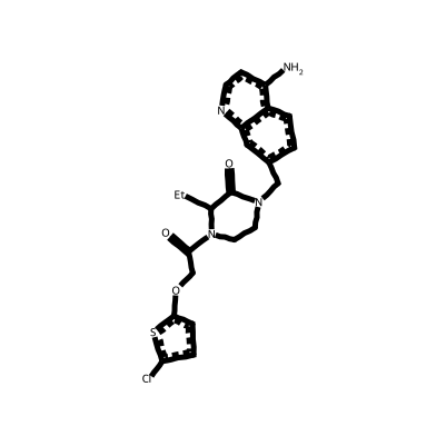 CCC1C(=O)N(Cc2ccc3c(N)ccnc3c2)CCN1C(=O)COc1ccc(Cl)s1